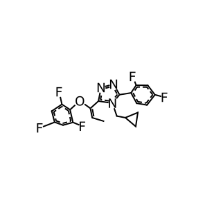 C/C=C(/Oc1c(F)cc(F)cc1F)c1nnc(-c2ccc(F)cc2F)n1CC1CC1